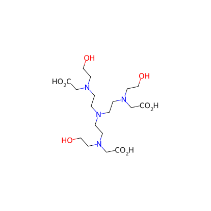 O=C(O)CN(CCO)CCN(CCN(CCO)CC(=O)O)CCN(CCO)CC(=O)O